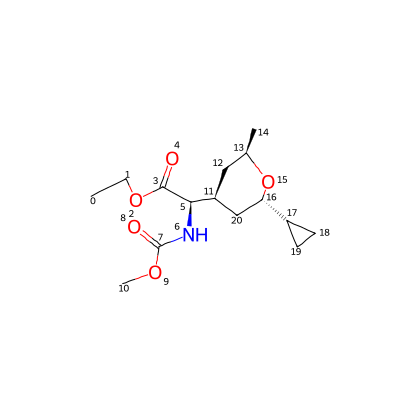 CCOC(=O)[C@H](NC(=O)OC)[C@H]1C[C@@H](C)O[C@H](C2CC2)C1